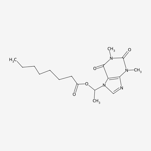 CCCCCCCC(=O)OC(C)n1cnc2c1c(=O)n(C)c(=O)n2C